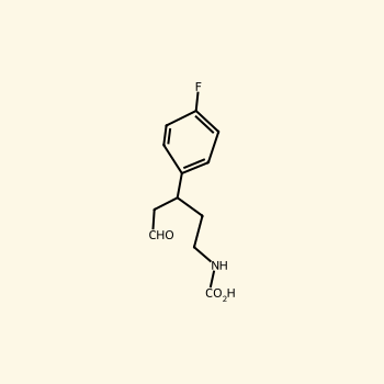 O=CCC(CCNC(=O)O)c1ccc(F)cc1